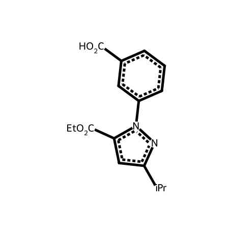 CCOC(=O)c1cc(C(C)C)nn1-c1cccc(C(=O)O)c1